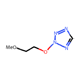 COCCOn1n[c]nn1